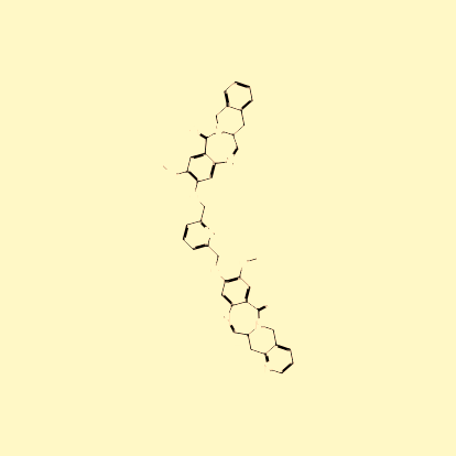 COc1cc2c(cc1OCc1cccc(COc3cc4c(cc3OC)C(=O)N3Cc5cccnc5C[C@H]3C=N4)n1)N=CC1Cc3ccccc3CN1C2=O